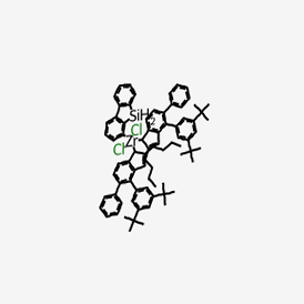 CCCCC1=Cc2c(ccc(-c3ccccc3)c2-c2cc(C(C)(C)C)cc(C(C)(C)C)c2)[CH]1[Zr]([Cl])([Cl])([c]1cccc2c1[SiH2]c1ccccc1-2)[CH]1C(CCCC)=Cc2c1ccc(-c1ccccc1)c2-c1cc(C(C)(C)C)cc(C(C)(C)C)c1